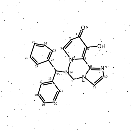 O=c1ccn2c(c1O)-c1nccn1CN2C(c1ccccc1)c1ccccc1